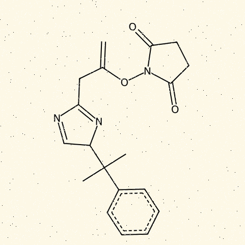 C=C(CC1=NC(C(C)(C)c2ccccc2)C=N1)ON1C(=O)CCC1=O